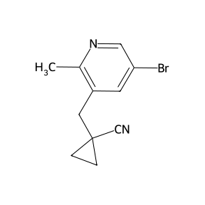 Cc1ncc(Br)cc1CC1(C#N)CC1